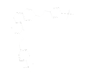 FC(F)(F)c1ccc(/C=C/c2ccc3ccc4ccc(/C=C/c5ccc(C(F)(F)F)cc5)nc4c3n2)cc1